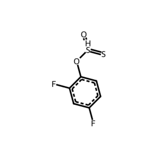 O=[SH](=S)Oc1ccc(F)cc1F